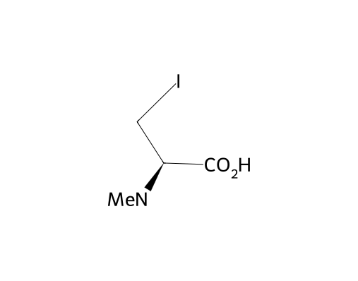 CN[C@@H](CI)C(=O)O